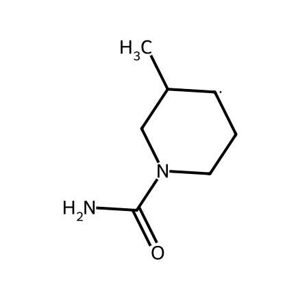 CC1[CH]CCN(C(N)=O)C1